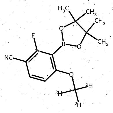 [2H]C([2H])([2H])Oc1ccc(C#N)c(F)c1B1OC(C)(C)C(C)(C)O1